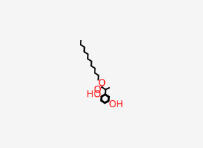 CCCCCCCCCCCCOC(=O)C(C)c1cc(O)ccc1O